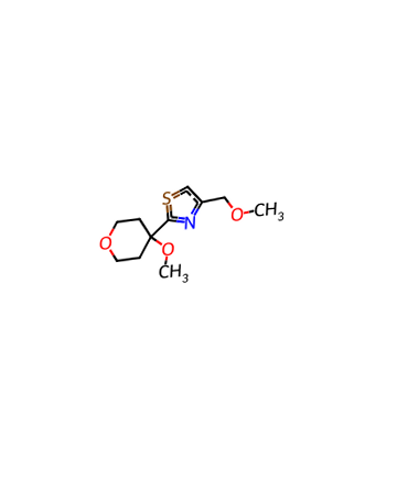 COCc1csc(C2(OC)CCOCC2)n1